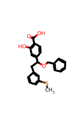 CSc1cccc(CC(OCc2ccccc2)c2ccc(C(=O)O)c(O)c2)c1